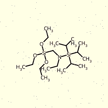 CCO[Si](CN(CC)[Si](C(C)C)(C(C)C)C(C)C)(OCC)OCC